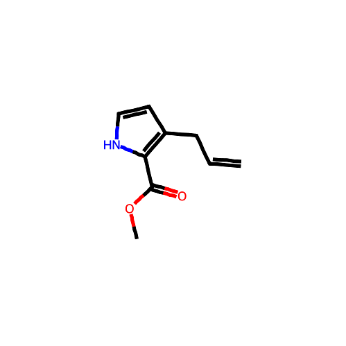 C=CCc1cc[nH]c1C(=O)OC